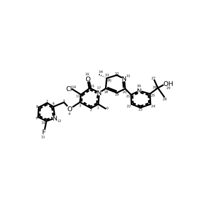 Cc1cc(OCc2cccc(F)n2)c(Cl)c(=O)n1C1=CC(c2cccc(C(C)(C)O)n2)=NC[C@H]1C